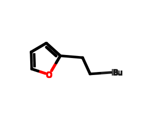 [CH2]C(CC)CCc1ccco1